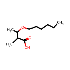 CCCCCCOC(C)C(C)C(=O)O